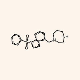 O=S(=O)(c1ccccc1)n1ccc2c(CN3CCCNCC3)cccc21